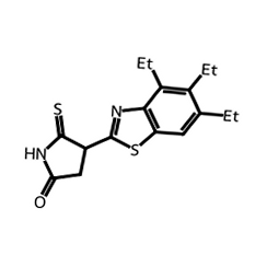 CCc1cc2sc(C3CC(=O)NC3=S)nc2c(CC)c1CC